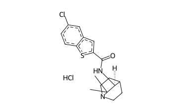 CC1(C)[C@@H](NC(=O)c2cc3cc(Cl)ccc3s2)C2CCN1CC2.Cl